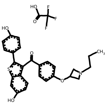 CCCN1CC(Oc2ccc(C(=O)c3c(-c4ccc(O)cc4)sc4cc(O)ccc34)cc2)C1.O=C(O)C(F)(F)F